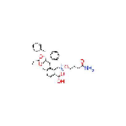 CCC(=O)OC(Cc1ccccc1)(c1ccccc1)C(C)Cc1c(C)ccc(C(=O)O)c1CNOCCCC(N)=O